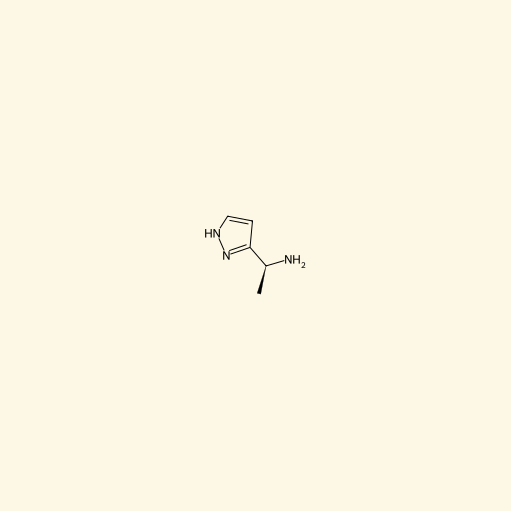 C[C@H](N)c1cc[nH]n1